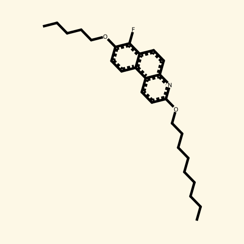 CCCCCCCCCOc1ccc2c(ccc3c(F)c(OCCCCC)ccc32)n1